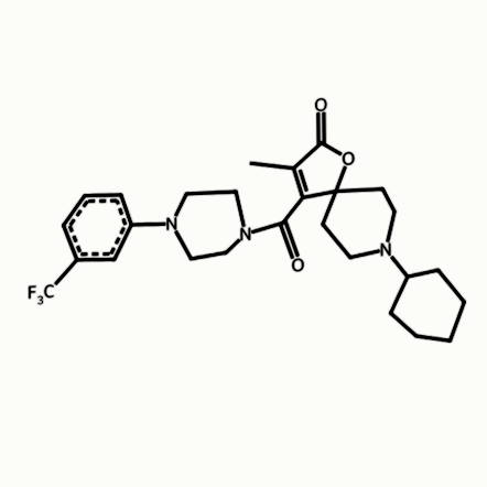 CC1=C(C(=O)N2CCN(c3cccc(C(F)(F)F)c3)CC2)C2(CCN(C3CCCCC3)CC2)OC1=O